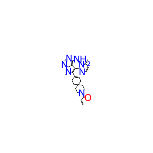 C=CC(=O)N1CCC2(CC=C(c3c(-c4nccc(C)n4)c4c(N)ncnc4n3C)CC2)CC1